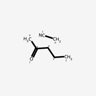 CC#N.CCCC(C)=O